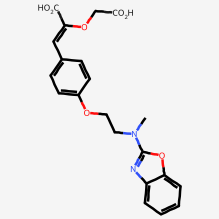 CN(CCOc1ccc(C=C(OCC(=O)O)C(=O)O)cc1)c1nc2ccccc2o1